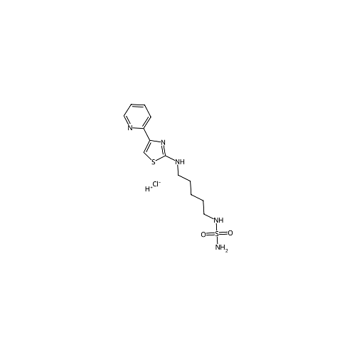 NS(=O)(=O)NCCCCCNc1nc(-c2ccccn2)cs1.[Cl-].[H+]